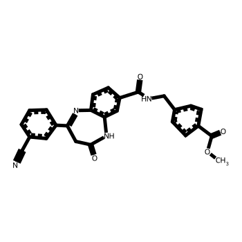 COC(=O)c1ccc(CNC(=O)c2ccc3c(c2)NC(=O)CC(c2cccc(C#N)c2)=N3)cc1